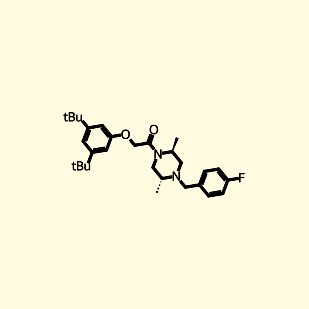 C[C@@H]1CN(C(=O)COc2cc(C(C)(C)C)cc(C(C)(C)C)c2)[C@@H](C)CN1Cc1ccc(F)cc1